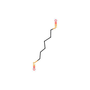 O=PCCCCCCP=O